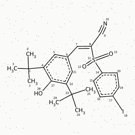 CC(C)(C)c1cc(C=C(C#N)S(=O)(=O)c2ccc(I)cc2)cc(C(C)(C)C)c1O